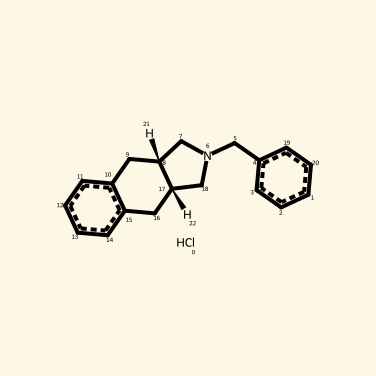 Cl.c1ccc(CN2C[C@H]3Cc4ccccc4C[C@H]3C2)cc1